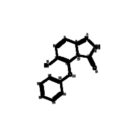 O=c1[nH]nc2ccc(Br)c(Oc3ccccc3)n12